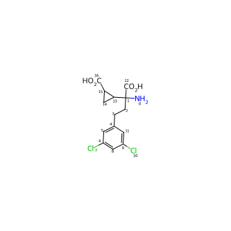 NC(CCc1cc(Cl)cc(Cl)c1)(C(=O)O)C1CC1C(=O)O